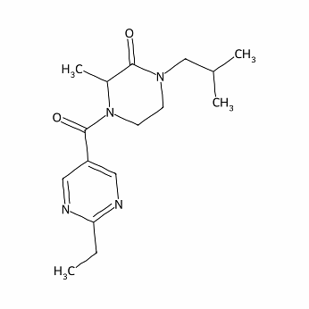 CCc1ncc(C(=O)N2CCN(CC(C)C)C(=O)C2C)cn1